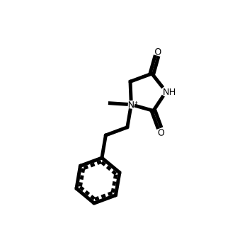 C[N+]1(CCc2ccccc2)CC(=O)NC1=O